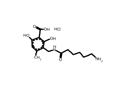 Cc1cc(O)c(C(=O)O)c(O)c1CNC(=O)CCCCCN.Cl